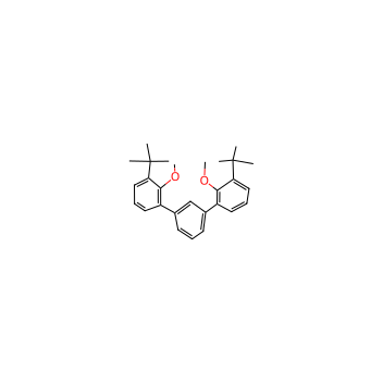 COc1c(-c2cccc(-c3cccc(C(C)(C)C)c3OC)c2)cccc1C(C)(C)C